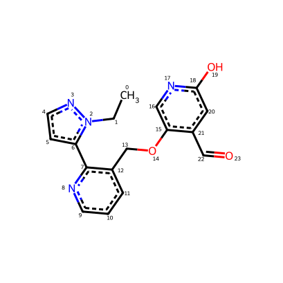 CCn1nccc1-c1ncccc1COc1cnc(O)cc1C=O